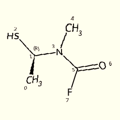 C[C@@H](S)N(C)C(=O)F